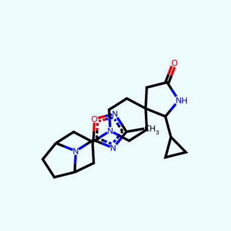 Cc1noc(N2C3CCC2CC(N2CCC4(CC2)CC(=O)NC4C2CC2)C3)n1